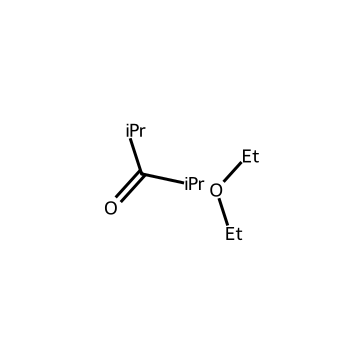 CC(C)C(=O)C(C)C.CCOCC